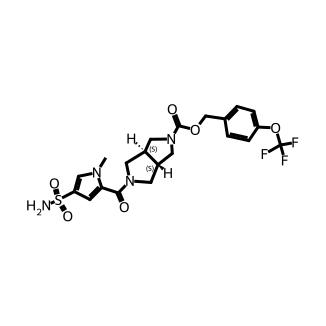 Cn1cc(S(N)(=O)=O)cc1C(=O)N1C[C@H]2CN(C(=O)OCc3ccc(OC(F)(F)F)cc3)C[C@@H]2C1